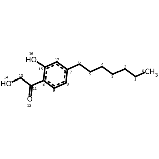 CCCCCCCc1ccc(C(=O)CO)c(O)c1